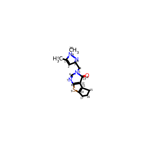 Cc1cc(Cn2cnc3sc4c(c3c2=O)CCC4)nn1C